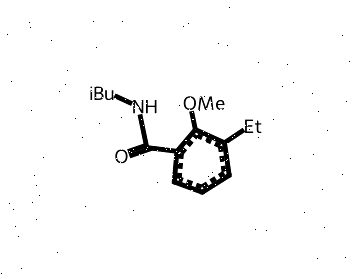 CCc1cccc(C(=O)NC(C)CC)c1OC